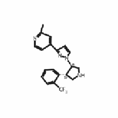 Cc1cc(-c2ccn([C@H]3CNC[C@@H]3c3ccccc3C(F)(F)F)n2)ccn1